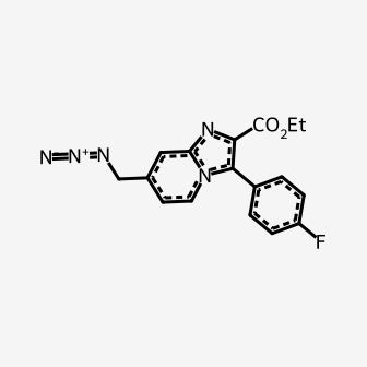 CCOC(=O)c1nc2cc(CN=[N+]=[N-])ccn2c1-c1ccc(F)cc1